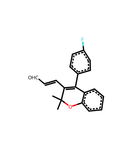 CC1(C)Oc2ccccc2C(c2ccc(F)cc2)=C1C=CC=O